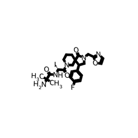 CC(C)(N)C(=O)N[C@H](I)C(=O)N1CCCC2(C1)C(=O)N(Cc1ncco1)CC2c1ccc(F)cc1